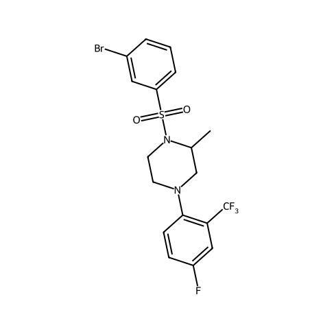 CC1CN(c2ccc(F)cc2C(F)(F)F)CCN1S(=O)(=O)c1cccc(Br)c1